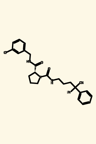 CC(C)C(C#N)(CCCNC(=O)N1CCC[C@@H]1C(=O)NCc1cccc(Cl)c1)c1ccccc1